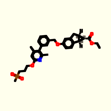 CCOC(=O)[C@H]1[C@@H]2Cc3cc(OCc4cccc(-c5c(C)cc(OCCCS(C)(=O)=O)nc5C)c4)ccc3[C@@H]21